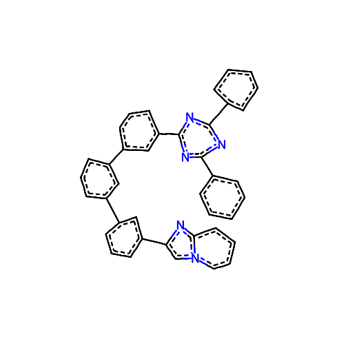 c1ccc(-c2nc(-c3ccccc3)nc(-c3cccc(-c4cccc(-c5cccc(-c6cn7ccccc7n6)c5)c4)c3)n2)cc1